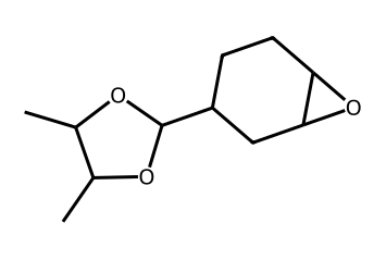 CC1OC(C2CCC3OC3C2)OC1C